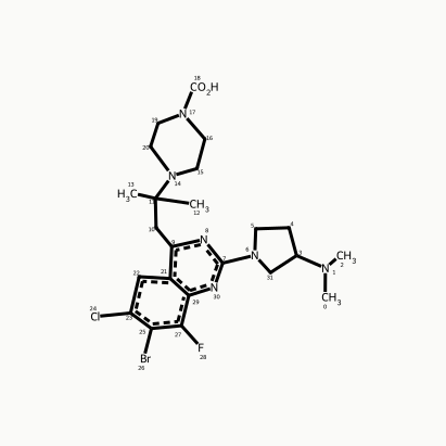 CN(C)C1CCN(c2nc(CC(C)(C)N3CCN(C(=O)O)CC3)c3cc(Cl)c(Br)c(F)c3n2)C1